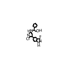 OCC(Nc1cnc(Cl)c(-c2ccc3[nH]nc(F)c3c2)c1)c1ccccc1